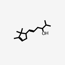 CC1=CCC(C=CCC(O)C(C)C)C1(C)C